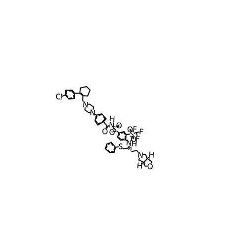 O=C(NS(=O)(=O)c1ccc(N[C@H](CCN2C[C@H]3COC[C@H]3C2)CSc2ccccc2)c(S(=O)(=O)C(F)(F)F)c1)c1ccc(N2CCN(CC3=C(c4ccc(Cl)cc4)CCCC3)CC2)cc1